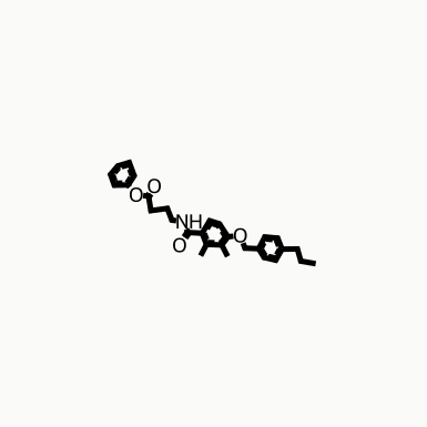 CCCc1ccc(COc2ccc(C(=O)NCCCC(=O)Oc3ccccc3)c(C)c2C)cc1